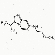 COCCNc1ccn2c(C(C)C)cnc2c1